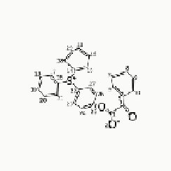 O=C([O-])C(=O)c1ccccc1.c1ccc([S+](c2ccccc2)c2ccccc2)cc1